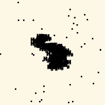 CSCC[C@H](NC(=O)[C@@H](NC(=O)CNC(=O)[C@@H](N)CC(=O)O)C(C)C)C(=O)N[C@H](C(=O)N[C@@H](CCC(N)=O)C(=O)N[C@H](C(=O)N1CCC[C@H]1C(=O)N[C@@H](C)C(=O)N[C@@H](CO)C(=O)N[C@H](C(=O)N[C@@H](CO)C(=O)N[C@@H](CCC(=O)O)C(=O)N1CCC[C@H]1C(=O)N[C@H](C(=O)NCC(=O)NCC(=O)N[C@H](C(=O)N[C@H](C(=O)N[C@H](C(=O)O)[C@@H](C)O)C(C)C)[C@@H](C)O)C(C)C)C(C)C)[C@@H](C)O)[C@@H](C)O